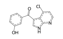 O=C(c1cccc(O)c1)c1c[nH]c2nccc(Cl)c12